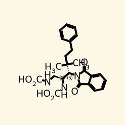 CC(C)(CCc1ccccc1)[C@@H]([C@H](CNC(=O)O)NC(=O)O)N1C(=O)c2ccccc2C1=O